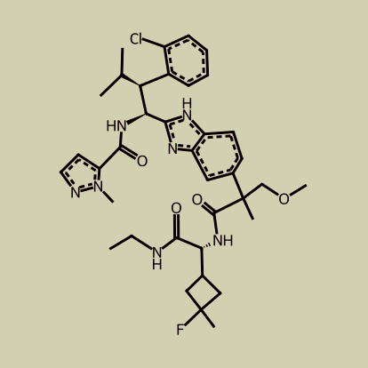 CCNC(=O)[C@H](NC(=O)C(C)(COC)c1ccc2[nH]c([C@@H](NC(=O)c3ccnn3C)[C@H](c3ccccc3Cl)C(C)C)nc2c1)C1CC(C)(F)C1